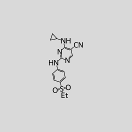 CCS(=O)(=O)c1ccc(Nc2ncc(C#N)c(NC3CC3)n2)cc1